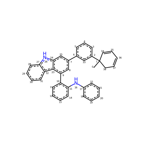 CC1(c2cccc(-c3cc(-c4ccccc4Nc4ccccc4)c4c(c3)[nH]c3ccccc34)c2)C=CC=CC1